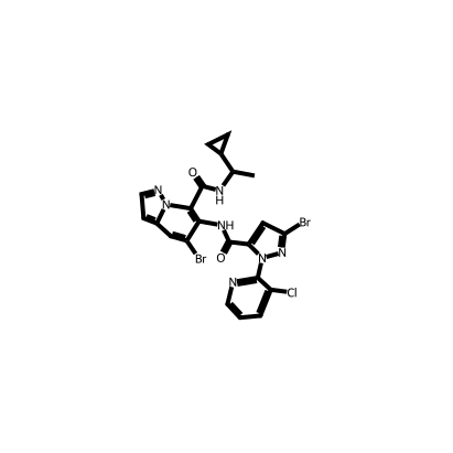 CC(NC(=O)c1c(NC(=O)c2cc(Br)nn2-c2ncccc2Cl)c(Br)cc2ccnn12)C1CC1